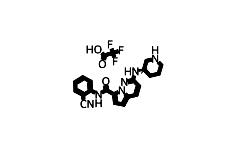 N#Cc1ccccc1NC(=O)c1ccc2ccc(N[C@@H]3CCCNC3)nn12.O=C(O)C(F)(F)F